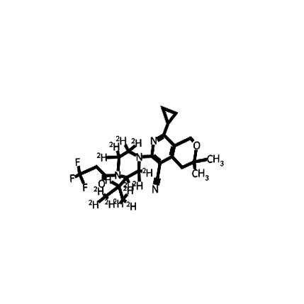 [2H]C([2H])([2H])C([2H])(C([2H])([2H])[2H])C1([2H])N(C(=O)CC(F)(F)F)C([2H])([2H])C([2H])([2H])N(c2nc(C3CC3)c3c(c2C#N)CC(C)(C)OC3)C1([2H])[2H]